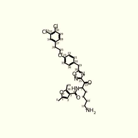 Cc1cc(C(=O)NC(CCCCN)C(=O)c2noc(Cc3ccc(OCCc4ccc(Cl)c(Cl)c4)cc3)n2)c(C)o1